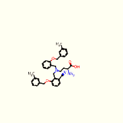 Cc1cccc(COc2ccccc2CN(CC[C@H](N)C(=O)O)Cc2c(C#N)cccc2OCc2cccc(C)c2)c1